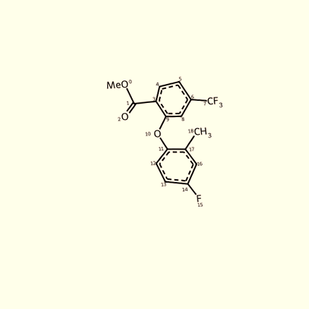 COC(=O)c1ccc(C(F)(F)F)cc1Oc1ccc(F)cc1C